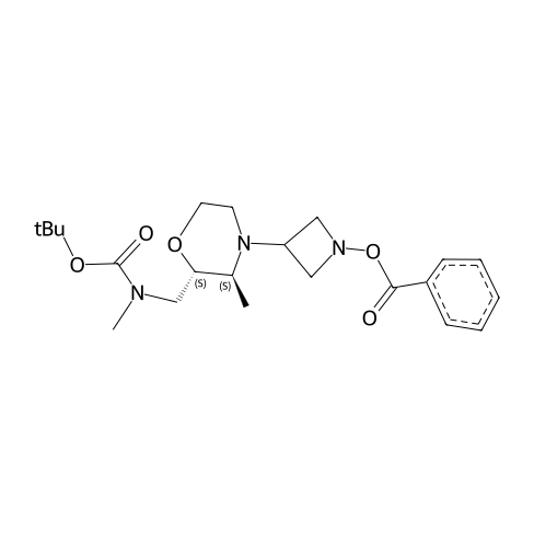 C[C@H]1[C@H](CN(C)C(=O)OC(C)(C)C)OCCN1C1CN(OC(=O)c2ccccc2)C1